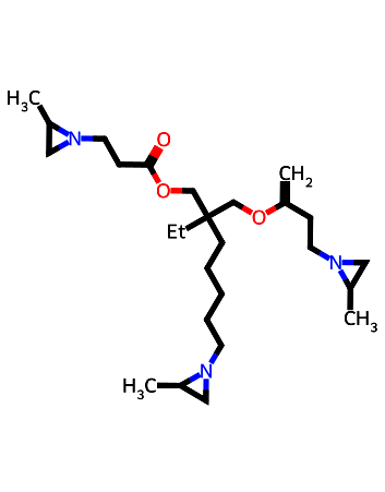 C=C(CCN1CC1C)OCC(CC)(CCCCCN1CC1C)COC(=O)CCN1CC1C